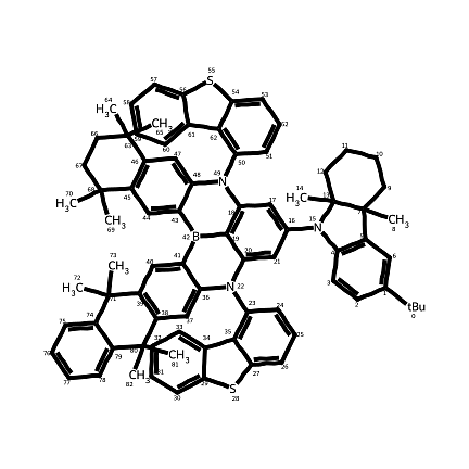 CC(C)(C)c1ccc2c(c1)C1(C)CCCCC1(C)N2c1cc2c3c(c1)N(c1cccc4sc5ccccc5c14)c1cc4c(cc1B3c1cc3c(cc1N2c1cccc2sc5ccccc5c12)C(C)(C)CCC3(C)C)C(C)(C)c1ccccc1C4(C)C